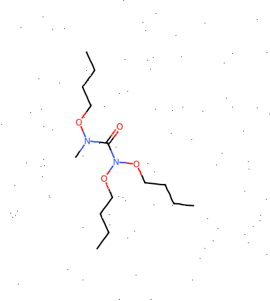 CCCCON(C)C(=O)N(OCCCC)OCCCC